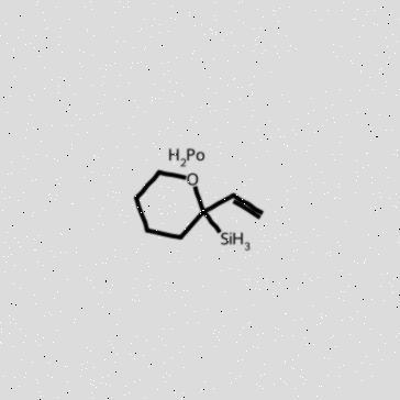 C=CC1([SiH3])CCCCO1.[PoH2]